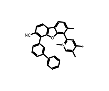 Cc1c[n+](C)c(-c2c(C)ccc3c2oc2c(-c4cccc(-c5ccccc5)c4)c(C#N)ccc23)cc1F